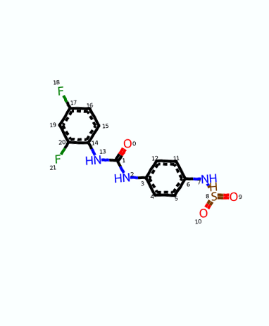 O=C(Nc1ccc(N[SH](=O)=O)cc1)Nc1ccc(F)cc1F